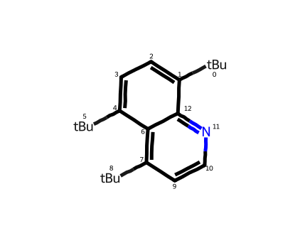 CC(C)(C)c1ccc(C(C)(C)C)c2c(C(C)(C)C)ccnc12